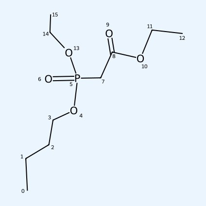 CCCCOP(=O)(CC(=O)OCC)OCC